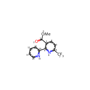 COC(=O)c1ccc(C(F)(F)F)nc1-c1ccccn1